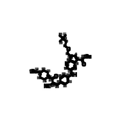 CC(C)(C)C(=O)c1cn(COCC[Si](C)(C)C)c2ncc(Nc3ccc(C=C(C#N)C(=O)N4CCN(C(C)(C)C)CC4)cc3)nc12